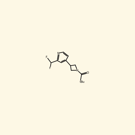 CC(C)(C)C(=O)N1CC(c2ccnc(C(F)F)c2)C1